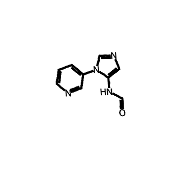 O=CNc1cncn1-c1cccnc1